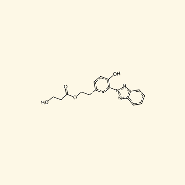 O=C(CCO)OCCc1ccc(O)c(-n2nc3ccccc3n2)c1